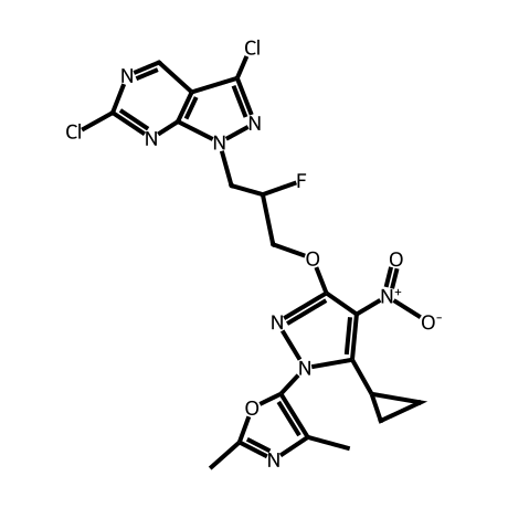 Cc1nc(C)c(-n2nc(OCC(F)Cn3nc(Cl)c4cnc(Cl)nc43)c([N+](=O)[O-])c2C2CC2)o1